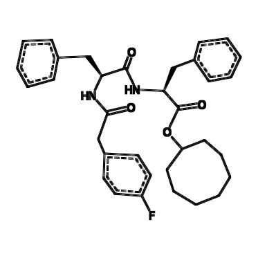 O=C(Cc1ccc(F)cc1)N[C@@H](Cc1ccccc1)C(=O)N[C@@H](Cc1ccccc1)C(=O)OC1CCCCCCC1